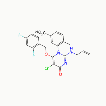 C=CCNc1nc(=O)c(Cl)c(OCc2ccc(F)cc2F)n1-c1cc(C(=O)O)ccc1C